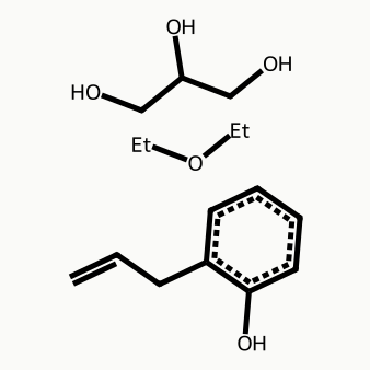 C=CCc1ccccc1O.CCOCC.OCC(O)CO